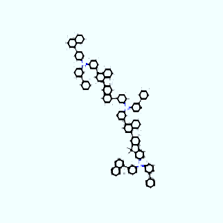 CC1(C)c2cc(-c3ccc(-c4cccc(N(c5cccc(-c6ccccc6)c5)c5cccc(-c6cccc7cc(-c8ccc(-c9cccc(N(c%10ccc(-c%11cccc%12ccccc%11%12)cc%10)c%10cccc(-c%11ccccc%11)c%10)c9)c9ccccc89)ccc67)c5)c4)c4ccccc34)ccc2-c2ccc(N(c3cccc(-c4ccccc4)c3)c3cccc(-c4cccc5ccccc45)c3)cc21